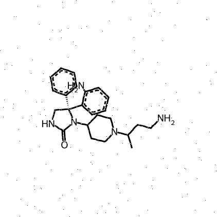 CC(CCN)N1CCC(N2C(=O)NC[C@@]2(c2ccccc2)c2ccccc2N)CC1